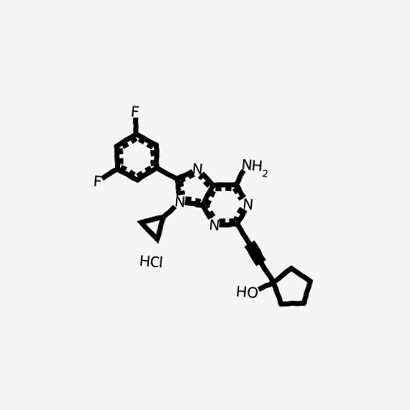 Cl.Nc1nc(C#CC2(O)CCCC2)nc2c1nc(-c1cc(F)cc(F)c1)n2C1CC1